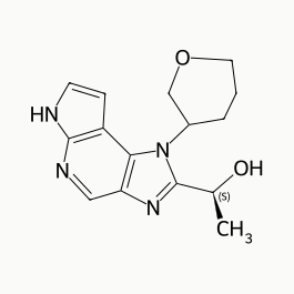 C[C@H](O)c1nc2cnc3[nH]ccc3c2n1C1CCCOC1